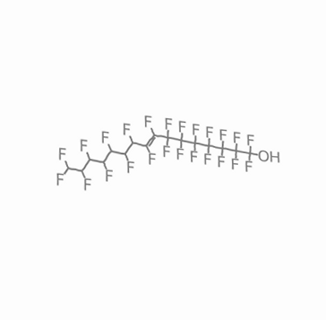 OC(F)(F)C(F)(F)C(F)(F)C(F)(F)C(F)(F)C(F)(F)C(F)(F)C(F)=C(F)C(F)C(F)C(F)C(F)C(F)C(F)C(F)F